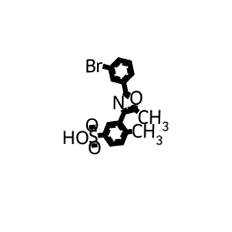 Cc1ccc(S(=O)(=O)O)cc1-c1nc(-c2cccc(Br)c2)oc1C